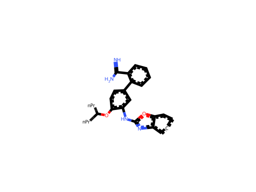 CCCC(CCC)Oc1ccc(-c2ccccc2C(=N)N)cc1Nc1nc2ccccc2o1